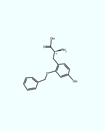 N[C@@H](Cc1ccc(O)cc1OCc1ccccc1)C(=O)O